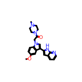 COc1ccc2c(c1)c(-c1cc3cccnc3[nH]1)cn2CC(=O)N1CCN(C)CC1